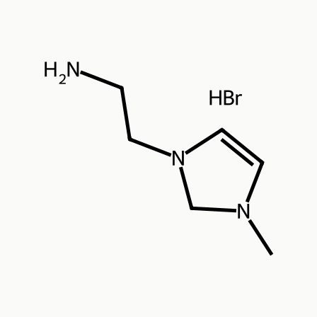 Br.CN1C=CN(CCN)C1